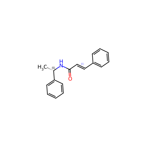 C[C@H](NC(=O)/C=C/c1ccccc1)c1ccccc1